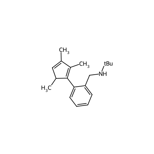 CC1=CC(C)C(c2ccccc2CNC(C)(C)C)=C1C